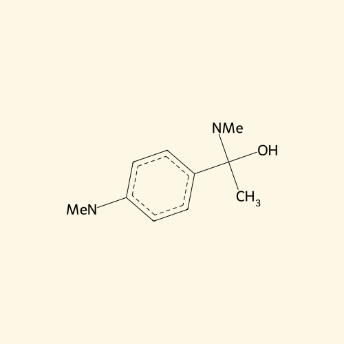 CNc1ccc(C(C)(O)NC)cc1